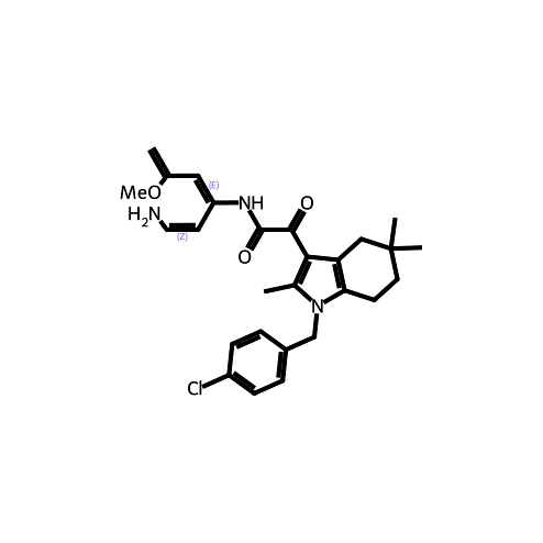 C=C(/C=C(\C=C/N)NC(=O)C(=O)c1c2c(n(Cc3ccc(Cl)cc3)c1C)CCC(C)(C)C2)OC